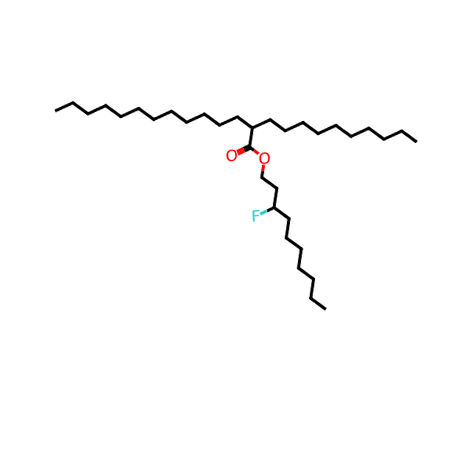 CCCCCCCCCCCCC(CCCCCCCCCC)C(=O)OCCC(F)CCCCCCC